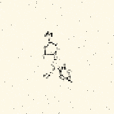 CC(COC1CCC(C(C)C)CC1)c1ccco1